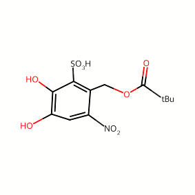 CC(C)(C)C(=O)OCc1c([N+](=O)[O-])cc(O)c(O)c1S(=O)(=O)O